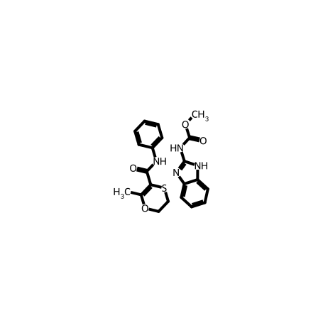 CC1=C(C(=O)Nc2ccccc2)SCCO1.COC(=O)Nc1nc2ccccc2[nH]1